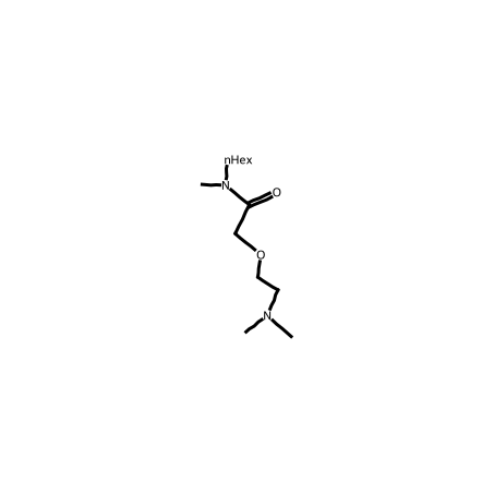 CCCCCCN(C)C(=O)COCCN(C)C